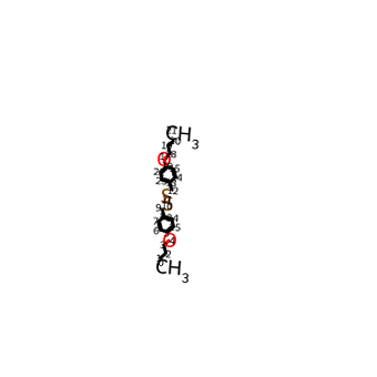 CCCCOc1ccc(CSSCc2ccc(OCCCC)cc2)cc1